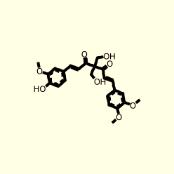 COc1cc(/C=C/C(=O)C(CO)(CO)C(=O)/C=C/c2ccc(OC)c(OC)c2)ccc1O